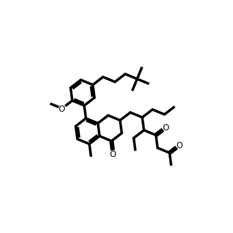 CCCC(CC1CC(=O)c2c(C)ccc(-c3cc(CCCC(C)(C)C)ccc3OC)c2C1)C(CC)C(=O)CC(C)=O